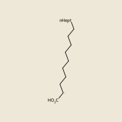 [CH2]CCCCCCCCCCCCCC[CH]C(=O)O